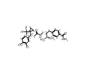 CN(C)[C@H](CNC(=O)C[C@H](c1ccc(Cl)c(Cl)c1)C1(C(F)(F)F)CC1)Cc1ccc(C(N)=O)cc1